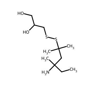 CCC(C)(N)CC(C)(C)SSCC(O)CO